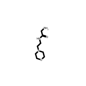 NCC(=O)NCCN1CCOCC1